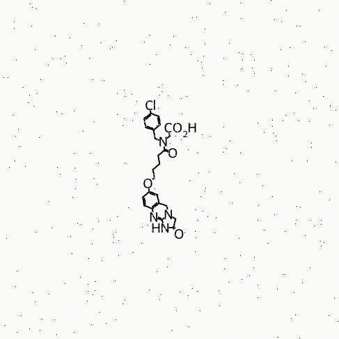 O=C(O)CN(Cc1ccc(Cl)cc1)C(=O)CCCCOc1ccc2c(c1)CN1CC(=O)NC1=N2